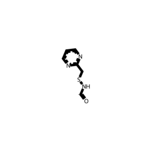 O=[C]NSCc1ncccn1